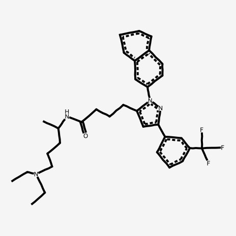 CCN(CC)CCCC(C)NC(=O)CCCc1cc(-c2cccc(C(F)(F)F)c2)nn1-c1ccc2ccccc2c1